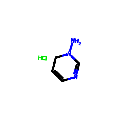 Cl.NN1C=NC=CC1